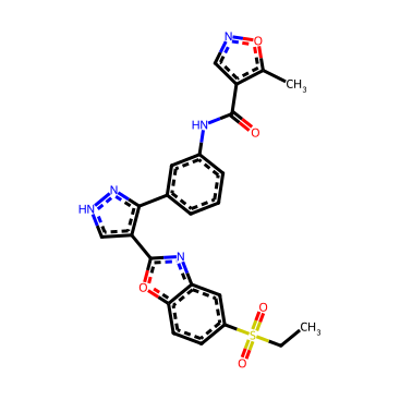 CCS(=O)(=O)c1ccc2oc(-c3c[nH]nc3-c3cccc(NC(=O)c4cnoc4C)c3)nc2c1